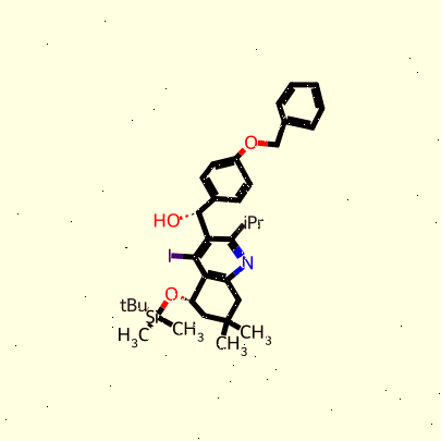 CC(C)c1nc2c(c(I)c1[C@H](O)c1ccc(OCc3ccccc3)cc1)[C@@H](O[Si](C)(C)C(C)(C)C)CC(C)(C)C2